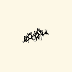 Cn1cc2cc(-n3nc4ncn(CC5CC5)c4c(Cl)c3=O)ccc2n1